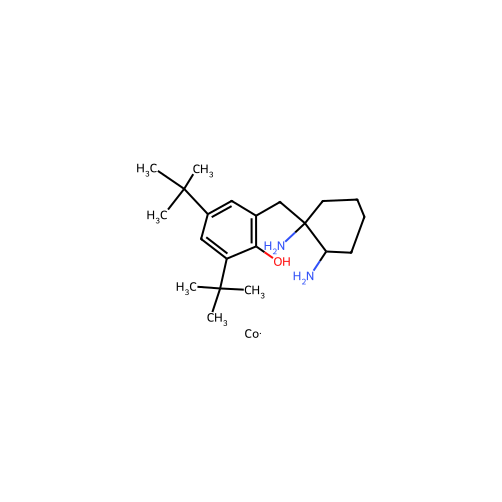 CC(C)(C)c1cc(CC2(N)CCCCC2N)c(O)c(C(C)(C)C)c1.[Co]